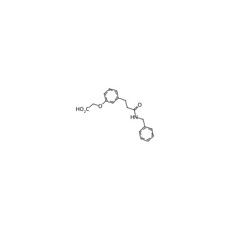 O=C(O)COc1cccc(CCC(=O)NCc2ccccc2)c1